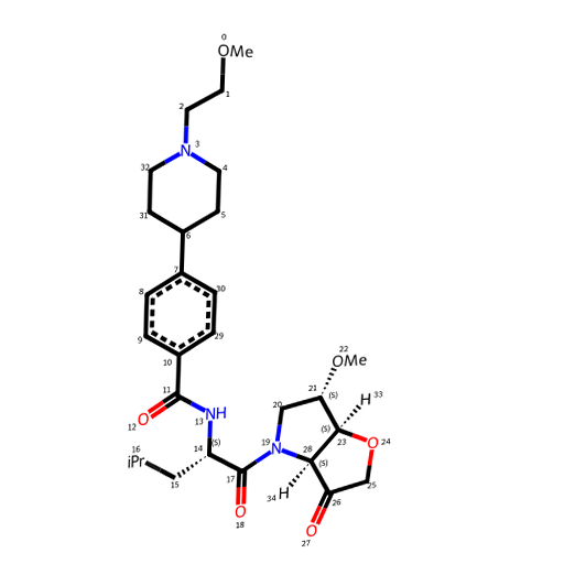 COCCN1CCC(c2ccc(C(=O)N[C@@H](CC(C)C)C(=O)N3C[C@H](OC)[C@H]4OCC(=O)[C@H]43)cc2)CC1